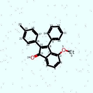 CCOc1cccc2c1C(c1ccccc1)=C(c1ccc(C)cc1)C2=O